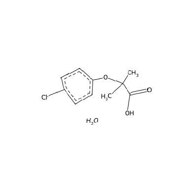 CC(C)(Oc1ccc(Cl)cc1)C(=O)O.O